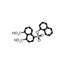 O=C(O)c1cccc2c(S(=O)(=O)Oc3cccc4ccccc34)ccc(C(=O)O)c12